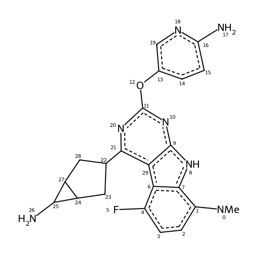 CNc1ccc(F)c2c1[nH]c1nc(Oc3ccc(N)nc3)nc(C3CC4C(N)C4C3)c12